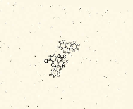 Cc1nc(C)c(C(=O)N2CCCCC2)c(-c2cccc(Cl)c2)c1C(=O)OCCC(c1ccccc1)c1ccccc1